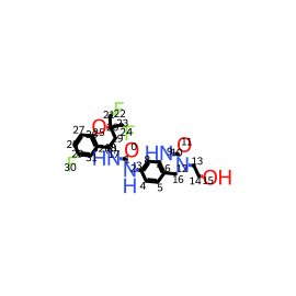 O=C(Nc1ccc2c(c1)NC(=O)N(CCO)C2)N[C@@H]1CC(CF)(CF)Oc2ccc(F)cc21